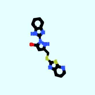 O=c1cc(CSc2nc3cccnc3s2)[nH]n1-c1nc2ccccc2[nH]1